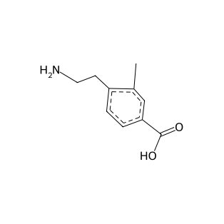 Cc1cc(C(=O)O)ccc1CCN